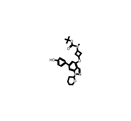 CN(C(=O)OC(C)(C)C)C1CC(Oc2cc(-c3ccc(O)cc3)cc3c2cnn3C2CCCCO2)C1